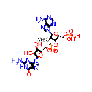 CO[C@H]1[C@@H](OP(C)(=O)OC[C@H]2O[C@@H](n3cnc4c(=O)[nH]c(N)nc43)[C@@H](O)[C@H]2O)[C@@H](COP(=O)(O)O)O[C@H]1n1cnc2c(N)ncnc21